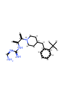 C=C(NC(=N)/N=C\N)C(=C)N1CCC(Cc2ccccc2C(C)(C)C)CC1